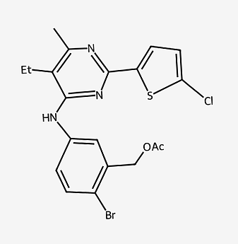 CCc1c(C)nc(-c2ccc(Cl)s2)nc1Nc1ccc(Br)c(COC(C)=O)c1